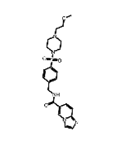 COCCN1CCN(S(=O)(=O)c2ccc(CNC(=O)c3ccc4nccn4c3)cc2)CC1